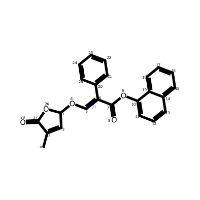 CC1=CC(O/C=C(/C(=O)Oc2cccc3ccccc23)c2ccccc2)OC1=O